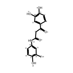 O=C(CC(=O)c1ccc(O)c(O)c1)Nc1ccc(O)c(F)c1